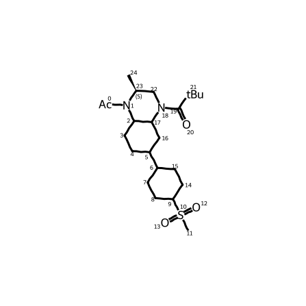 CC(=O)N1C2CCC(C3CCC(S(C)(=O)=O)CC3)CC2N(C(=O)C(C)(C)C)C[C@@H]1C